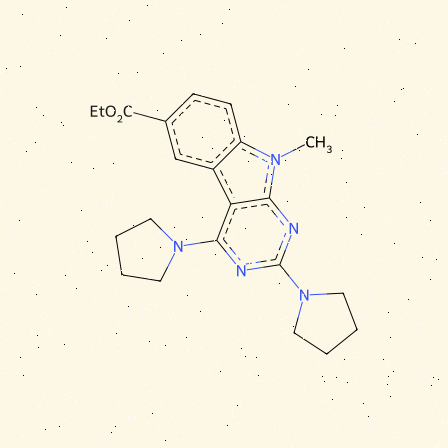 CCOC(=O)c1ccc2c(c1)c1c(N3CCCC3)nc(N3CCCC3)nc1n2C